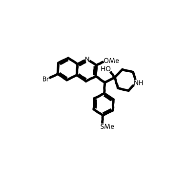 COc1nc2ccc(Br)cc2cc1C(c1ccc(SC)cc1)C1(O)CCNCC1